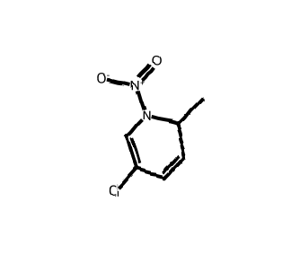 CC1C=CC(Cl)=CN1[N+](=O)[O-]